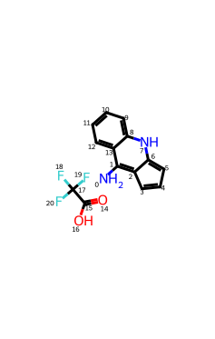 Nc1c2cccc-2[nH]c2ccccc12.O=C(O)C(F)(F)F